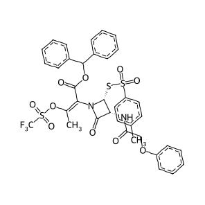 CC(OS(=O)(=O)C(F)(F)F)=C(C(=O)OC(c1ccccc1)c1ccccc1)N1C(=O)[C@@H](NC(=O)COc2ccccc2)[C@H]1SS(=O)(=O)c1ccc(C)cc1